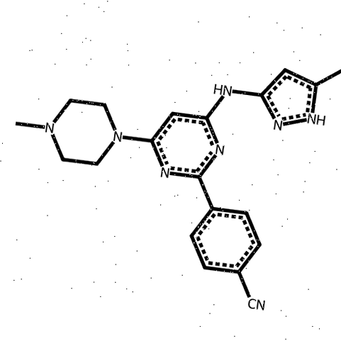 Cc1cc(Nc2cc(N3CCN(C)CC3)nc(-c3ccc(C#N)cc3)n2)n[nH]1